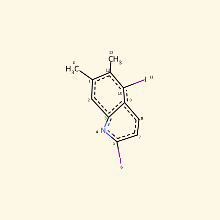 Cc1cc2nc(I)ccc2c(I)c1C